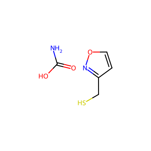 NC(=O)O.SCc1ccon1